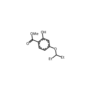 CCC(CC)Oc1ccc(C(=O)OC)c(O)c1